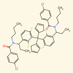 CCCCN(C(=O)c1ccc(Cl)cc1)C(CC)c1ccc(F)[c]([Ti]([C]2=CC=CC2)([C]2=CC=CC2)[c]2c(F)ccc(C(CC)N(CCCC)C(=O)c3ccc(Cl)cc3)c2F)c1F